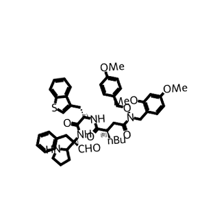 CCCC[C@H](CC(=O)N(Cc1ccc(OC)cc1OC)OCc1ccc(OC)cc1)C(=O)N[C@@H](Cc1csc2ccccc12)C(=O)N[C@@](C=O)(Cc1ccccc1)C1CCCN1